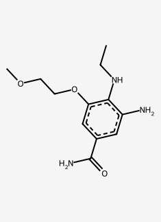 CCNc1c(N)cc(C(N)=O)cc1OCCOC